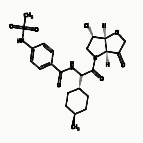 CS(=O)(=O)Nc1ccc(C(=O)NC(C(=O)N2C[C@H](Cl)[C@H]3OCC(=O)[C@H]32)[C@H]2CC[C@H](C)CC2)cc1